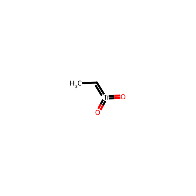 C[CH]=[Ti](=[O])=[O]